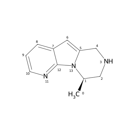 C[C@@H]1CNCc2cc3cccnc3n21